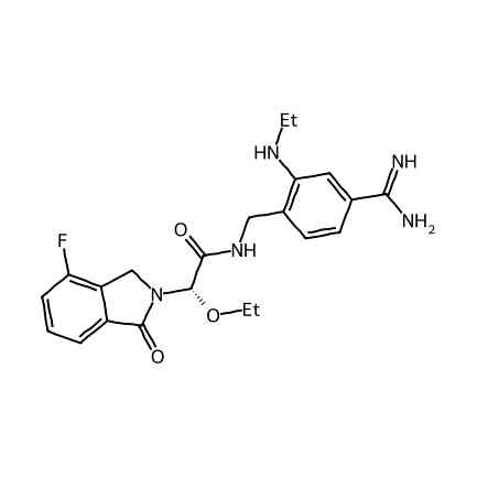 CCNc1cc(C(=N)N)ccc1CNC(=O)[C@H](OCC)N1Cc2c(F)cccc2C1=O